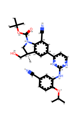 CC(C)Oc1ccc(C#N)cc1Nc1nccc(-c2cc(C#N)c3c(c2)[C@@](C)(CO)CN3C(=O)OC(C)(C)C)n1